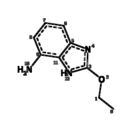 CCOc1nc2cccc(N)c2[nH]1